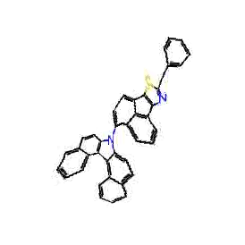 c1ccc(-c2nc3c(s2)-c2ccc(-n4c5ccc6ccccc6c5c5c6ccccc6ccc54)c4cccc-3c24)cc1